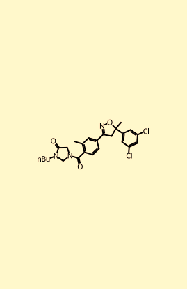 CCCCN1CN(C(=O)c2ccc(C3=NOC(C)(c4cc(Cl)cc(Cl)c4)C3)cc2C)CC1=O